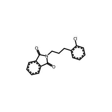 O=C1c2ccccc2C(=O)N1CCCc1ccccc1Cl